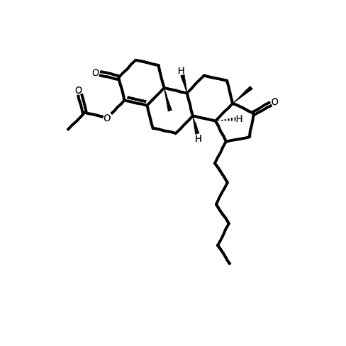 CCCCCCC1CC(=O)[C@@]2(C)CC[C@@H]3[C@@H](CCC4=C(OC(C)=O)C(=O)CC[C@@]43C)[C@H]12